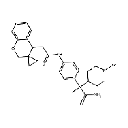 CC(=O)N1CCC(C(C)(C(N)=O)c2ccc(NC(=O)CC3c4ccccc4OCC34CC4)cc2)CC1